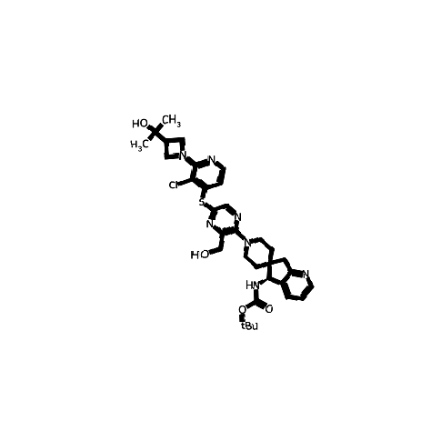 CC(C)(C)OC(=O)N[C@@H]1c2cccnc2CC12CCN(c1ncc(Sc3ccnc(N4CC(C(C)(C)O)C4)c3Cl)nc1CO)CC2